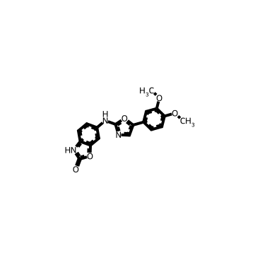 COc1ccc(-c2cnc(Nc3ccc4[nH]c(=O)oc4c3)o2)cc1OC